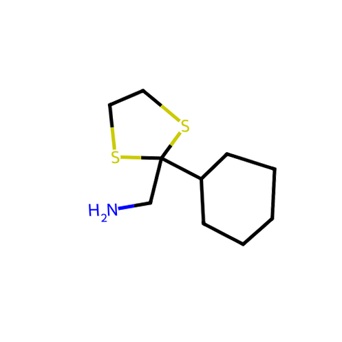 NCC1(C2CCCCC2)SCCS1